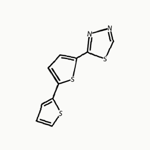 c1csc(-c2ccc(-c3nncs3)s2)c1